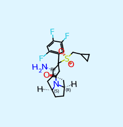 N[C@H](Cc1cc(F)c(F)cc1F)[C@@H]1C[C@H]2CC[C@@H](C1)N2C(=O)CCS(=O)(=O)CC1CC1